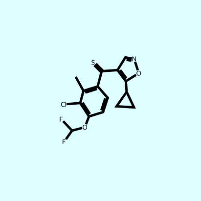 Cc1c(C(=S)c2cnoc2C2CC2)ccc(OC(F)F)c1Cl